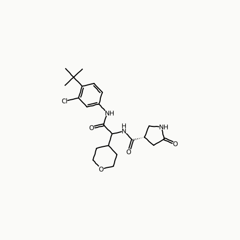 CC(C)(C)c1ccc(NC(=O)C(NC(=O)[C@@H]2CNC(=O)C2)C2CCOCC2)cc1Cl